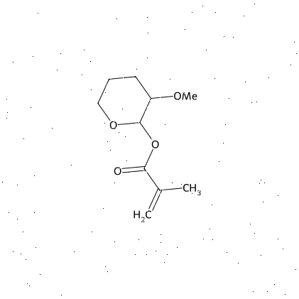 C=C(C)C(=O)OC1OCCCC1OC